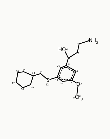 NCCC(O)c1cc(OC(F)(F)F)cc(SCC2CCCCC2)c1